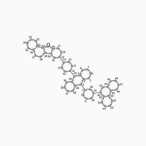 c1cc(-c2c3ccccc3c(-c3ccc(-c4ccc5oc6c7ccccc7ccc6c5c4)cc3)c3ccccc23)cc(-c2cc3ccccc3c3ccccc23)c1